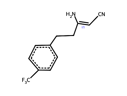 N#C/C=C(\N)CCc1ccc(C(F)(F)F)cc1